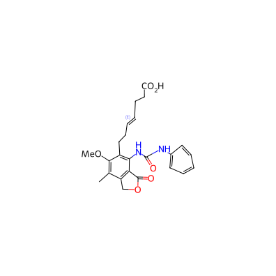 COc1c(C)c2c(c(NC(=O)Nc3ccccc3)c1CC/C=C/CCC(=O)O)C(=O)OC2